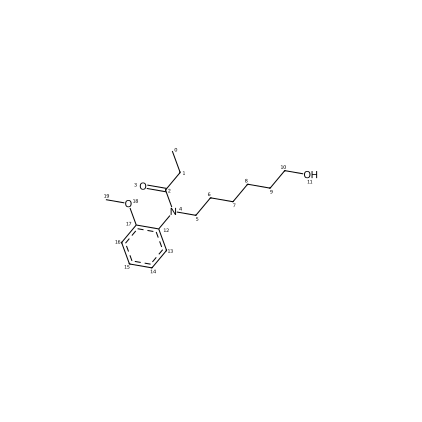 CCC(=O)N(CCCCCCO)c1ccccc1OC